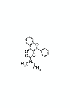 CCN(C)C(=O)Oc1c(-c2ccccc2)oc2ccccc2c1=O